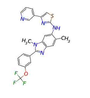 Cc1cc2nc(-c3cccc(OC(F)(F)F)c3)n(C)c2cc1Nc1nc(-c2cccnc2)cs1